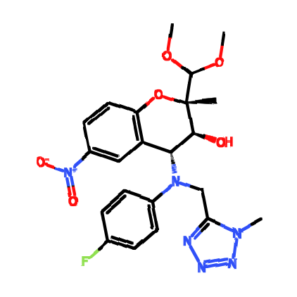 COC(OC)[C@@]1(C)Oc2ccc([N+](=O)[O-])cc2[C@@H](N(Cc2nnnn2C)c2ccc(F)cc2)[C@@H]1O